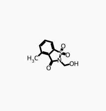 Cc1cccc2c1C(=O)N(CO)S2(=O)=O